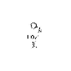 CC(C)SCC(O)CCN(C)Cc1ccccc1